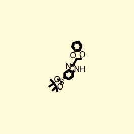 CC1(C)OB(c2ccc3[nH]c(C4COc5ccccc5O4)nc3c2)OC1(C)C